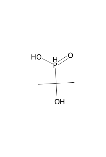 CC(C)(O)[PH](=O)O